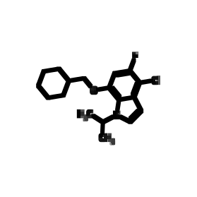 CC(C)n1ccc2c(Cl)c(F)cc(OCC3CCCCC3)c21